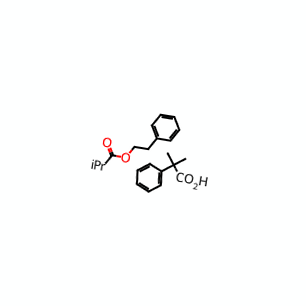 CC(C)(C(=O)O)c1ccccc1.CC(C)C(=O)OCCc1ccccc1